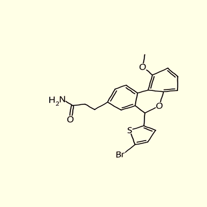 COc1cccc2c1-c1ccc(CCC(N)=O)cc1C(c1ccc(Br)s1)O2